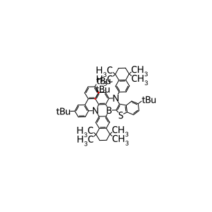 CC(C)(C)c1ccc(-c2cc(C(C)(C)C)ccc2N2c3cc4c(cc3B3c5sc6ccc(C(C)(C)C)cc6c5N(c5ccc6c(c5)C(C)(C)CCC6(C)C)c5cc(C(C)(C)C)cc2c53)C(C)(C)CCC4(C)C)cc1